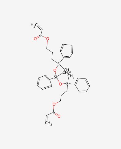 C=CC(=O)OCCC[Si](C)(O[Si](C)(O[Si](C)(CCCOC(=O)C=C)c1ccccc1)c1ccccc1)c1ccccc1